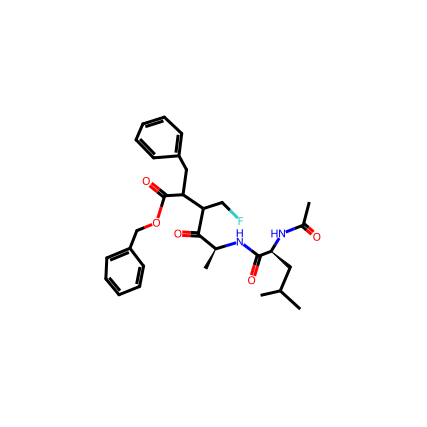 CC(=O)N[C@@H](CC(C)C)C(=O)N[C@@H](C)C(=O)C(CF)C(Cc1ccccc1)C(=O)OCc1ccccc1